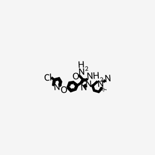 C[C@@H]1CCC(n2nc(-c3ccc(Oc4ccc(Cl)cn4)cc3)c(C(N)=O)c2N)CN1C#N